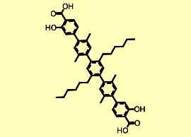 CCCCCCc1cc(-c2cc(C)c(-c3ccc(C(=O)O)c(O)c3)cc2C)c(CCCCCC)cc1-c1cc(C)c(-c2ccc(C(=O)O)c(O)c2)cc1C